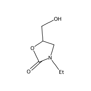 CCN1CC(CO)OC1=O